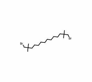 CC(C)(CBr)CCCCCCCCCCC(C)(C)CBr